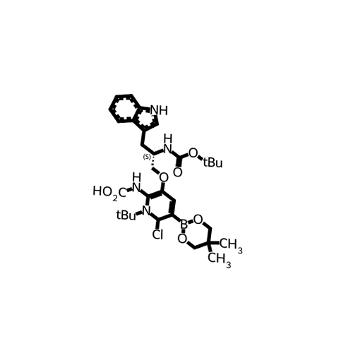 CC1(C)COB(C2=CC(OC[C@H](Cc3c[nH]c4ccccc34)NC(=O)OC(C)(C)C)=C(NC(=O)O)N(C(C)(C)C)C2Cl)OC1